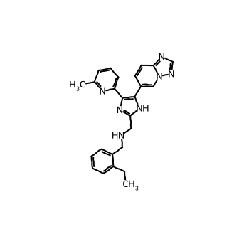 CCc1ccccc1CNCc1nc(-c2cccc(C)n2)c(-c2ccc3ncnn3c2)[nH]1